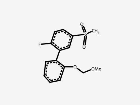 COCOc1ccccc1-c1cc(S(C)(=O)=O)ccc1F